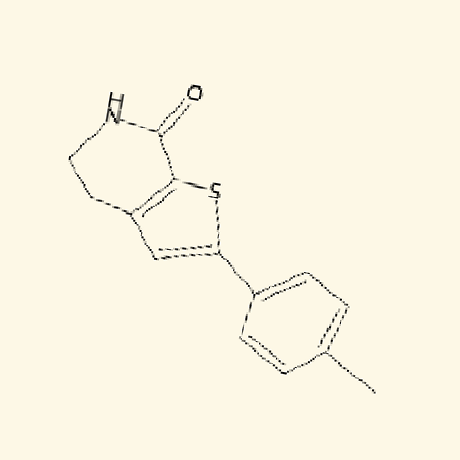 Cc1ccc(-c2cc3c(s2)C(=O)NCC3)cc1